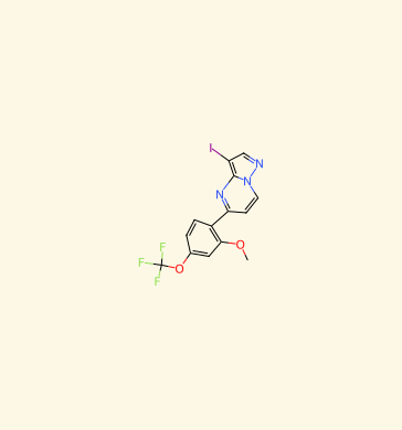 COc1cc(OC(F)(F)F)ccc1-c1ccn2ncc(I)c2n1